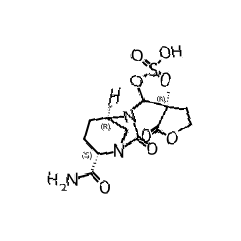 C[C@]1(C(OS(=O)(=O)O)N2C(=O)N3C[C@H]2CC[C@H]3C(N)=O)CCOC1=O